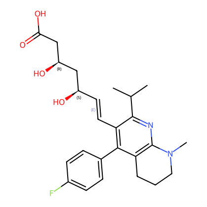 CC(C)c1nc2c(c(-c3ccc(F)cc3)c1/C=C/[C@@H](O)C[C@@H](O)CC(=O)O)CCCN2C